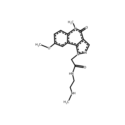 CNCCNC(=O)Cn1ncc2c(=O)n(C)c3ccc(OC)cc3c21